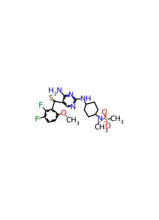 COc1ccc(F)c(F)c1C(=S)c1cnc(NC2CCC(N(C)S(C)(=O)=O)CC2)nc1N